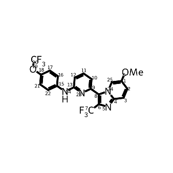 COc1ccc2nc(C(F)(F)F)c(-c3cccc(Nc4ccc(OC(F)(F)F)cc4)n3)n2c1